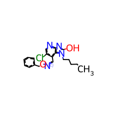 CCCCCn1c(O)nc2ncc(Cl)c(/C=N\OCc3ccccc3)c21